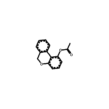 CC(=O)Oc1cccc2c1-c1ccccc1CO2